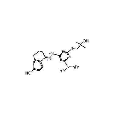 CCCN(CCC)c1cc(N/N=C2\CCCc3cc(O)ccc32)nc(OCC(C)(C)O)n1